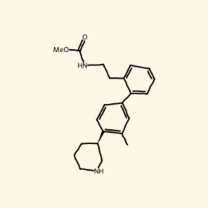 COC(=O)NCCc1ccccc1-c1ccc([C@@H]2CCCNC2)c(C)c1